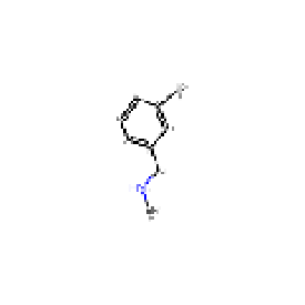 CCCNCc1cccc(C(C)C)c1